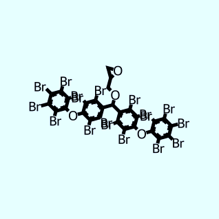 Brc1c(Br)c(Br)c(Oc2c(Br)c(Br)c(C(OCC3CO3)c3c(Br)c(Br)c(Oc4c(Br)c(Br)c(Br)c(Br)c4Br)c(Br)c3Br)c(Br)c2Br)c(Br)c1Br